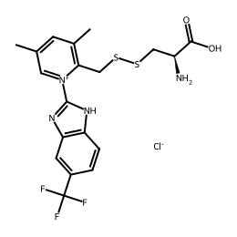 Cc1cc(C)c(CSSC[C@H](N)C(=O)O)[n+](-c2nc3cc(C(F)(F)F)ccc3[nH]2)c1.[Cl-]